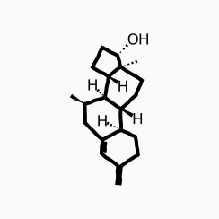 C=C1C=C2C[C@@H](C)[C@@H]3[C@H](CC[C@]4(C)[C@@H](O)CC[C@@H]34)[C@H]2CC1